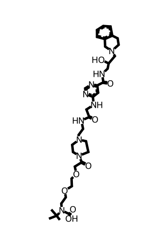 CC(C)(C)N(CCOCCOCC(=O)N1CCN(CCNC(=O)CNc2cc(C(=O)NCC(O)CN3CCc4ccccc4C3)ncn2)CC1)C(=O)O